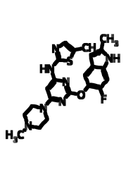 Cc1cc2cc(Oc3nc(Nc4ncc(C)s4)cc(N4CCN(C)CC4)n3)c(F)cc2[nH]1